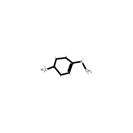 CSC1=CCC(C)CC1